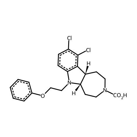 O=C(O)N1CC[C@H]2c3c(ccc(Cl)c3Cl)N(CCOc3ccccc3)[C@H]2CC1